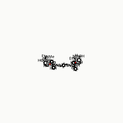 CC[C@H](NC)C(=O)N[C@@H]1C(=O)N2[C@@H](CC[C@@H]1CO)CC[C@H]2C(=O)NC(C(=O)NCCOCc1ccc(COCCNC(=O)C(NC(=O)[C@@H]2CC[C@@H]3CC[C@H](CO)[C@H](NC(=O)[C@H](CC)NC)C(=O)N32)(c2ccccc2)c2ccccc2)cc1)(c1ccccc1)c1ccccc1